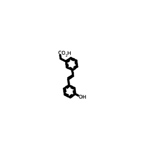 O=C(O)Cc1cccc(C=Cc2cccc(O)c2)c1